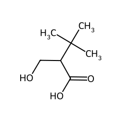 CC(C)(C)C(CO)C(=O)O